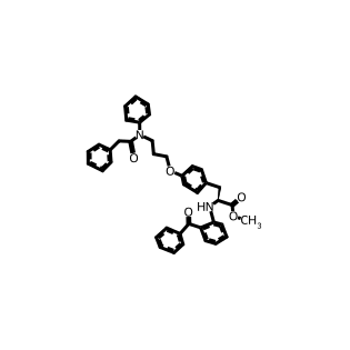 COC(=O)[C@H](Cc1ccc(OCCCN(C(=O)Cc2ccccc2)c2ccccc2)cc1)Nc1ccccc1C(=O)c1ccccc1